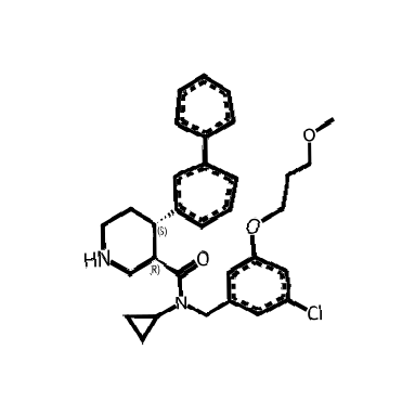 COCCCOc1cc(Cl)cc(CN(C(=O)[C@H]2CNCC[C@@H]2c2cccc(-c3ccccc3)c2)C2CC2)c1